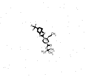 CCC[C@H]1CN(C(=O)OC(C)(C)C)CCN1c1nc2ccc(C(F)(F)F)cc2s1